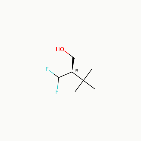 CC(C)(C)[C@H](CO)C(F)F